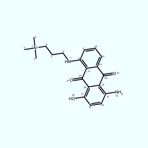 C[N+](C)(C)CCCNc1cccc2c1C(=O)c1c(O)ccc(N)c1C2=O